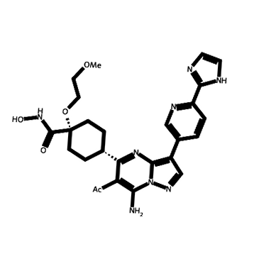 COCCO[C@]1(C(=O)NO)CC[C@H](c2nc3c(-c4ccc(-c5ncc[nH]5)nc4)cnn3c(N)c2C(C)=O)CC1